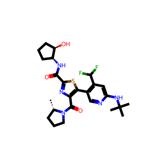 C[C@H]1CCCN1C(=O)c1nc(C(=O)N[C@H]2CCC[C@H]2O)sc1-c1cnc(NC(C)(C)C)cc1C(F)F